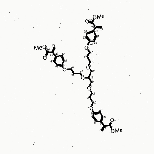 C=C(C(=O)OC)c1ccc(OCCCOCC(COCCCOc2ccc(C(=C)C(=O)OC)cc2)OCCCOc2ccc(C(=C)C(=O)OC)cc2)cc1